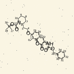 Cc1c(OCCC2CCCCN2C(=O)OC(C)(C)C)ccc2cc(NC(=O)OCc3ccccc3)c(=O)oc12